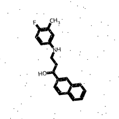 Cc1cc(NCCC(O)c2ccc3ccccc3c2)ccc1F